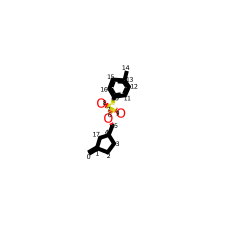 C=C1CCC(COS(=O)(=O)c2ccc(C)cc2)C1